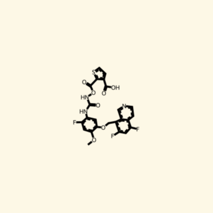 COc1cc(F)c(NC(=O)NOC(=O)c2sccc2C(=O)O)cc1OCc1c(F)cc(F)c2ccncc12